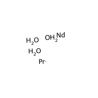 O.O.O.[Nd].[Pr]